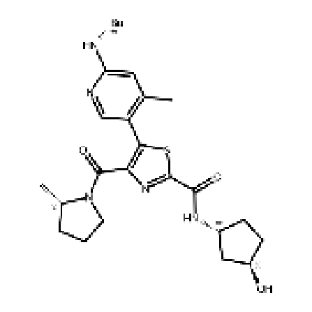 CC[C@@H](C)Nc1cc(C)c(-c2sc(C(=O)N[C@@H]3CC[C@@H](O)C3)nc2C(=O)N2CCC[C@@H]2C)cn1